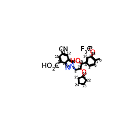 Cc1ccc(C(O)C(Cn2cc3cc(C#N)cc(C(=O)O)c3n2)OC2CCCC2)cc1OC(F)(F)F